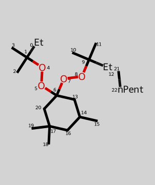 CCC(C)(C)OOC1(OOC(C)(C)CC)CC(C)CC(C)(C)C1.CCCCCC